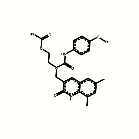 CCOc1ccc(NC(=O)N(CCOC(=O)C(C)C)Cc2cc3cc(C)cc(C)c3[nH]c2=O)cc1